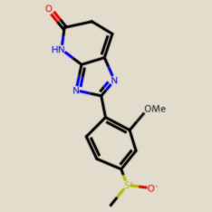 COc1cc([S+](C)[O-])ccc1C1=NC2=CCC(=O)NC2=N1